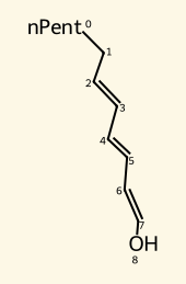 CCCCCCC=CC=CC=CO